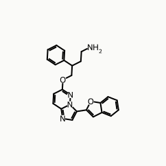 NCCC(COc1ccc2ncc(-c3cc4ccccc4o3)n2n1)c1ccccc1